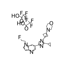 FCCn1ccc2ncc(-c3cn(C45CC(N6CCOCC6)(C4)C5)c(C4CC4)n3)cc21.O=C(O)C(F)(F)F.O=C(O)C(F)(F)F